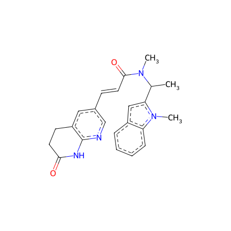 CC(c1cc2ccccc2n1C)N(C)C(=O)C=Cc1cnc2c(c1)CCC(=O)N2